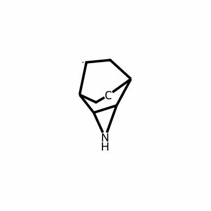 [CH]1CC2CCC1C1NC21